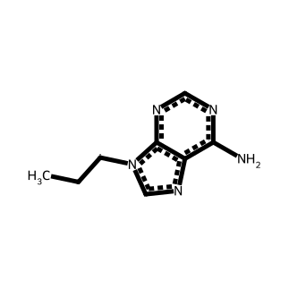 CC[CH]n1cnc2c(N)ncnc21